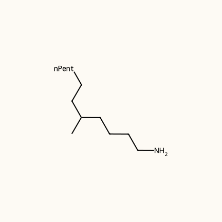 CCCCCCCC(C)CCCCN